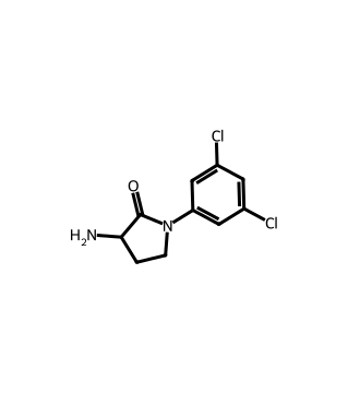 NC1CCN(c2cc(Cl)cc(Cl)c2)C1=O